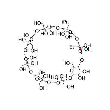 CCC1OC2OC3C(CO)OC(OC4C(CO)OC(OC5C(CO)OC(OC6C(CO)OC(OC7C(CO)OC(OC8C(CO)OC(OC9C(CC(C)C)OC(OC1C(O)C2O)C(O)C9O)C(O)C8O)C(O)C7O)C(O)C6O)C(O)C5O)C(O)C4O)C(O)C3O